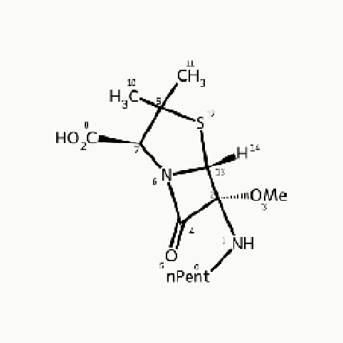 CCCCCN[C@@]1(OC)C(=O)N2[C@@H](C(=O)O)C(C)(C)S[C@@H]21